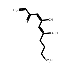 C=CC(=O)C=C(C#N)C=C(CCCS(=O)(=O)O)C(=O)O